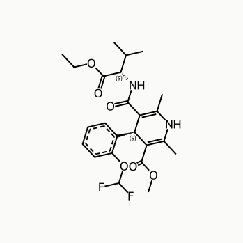 CCOC(=O)[C@@H](NC(=O)C1=C(C)NC(C)=C(C(=O)OC)[C@H]1c1ccccc1OC(F)F)C(C)C